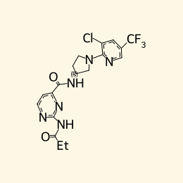 CCC(=O)Nc1nccc(C(=O)N[C@@H]2CCN(c3ncc(C(F)(F)F)cc3Cl)C2)n1